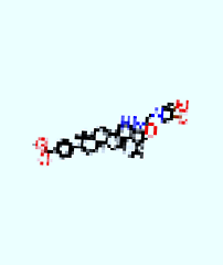 C=C(C)[C@@H]1CC[C@]2(NC(=O)CN3CC4CC3CS4(=O)=O)CC[C@]3(C)[C@H](CCC4[C@@]5(C)CC=C(c6ccc(C(=O)OC)cc6)C(C)(C)C5CC[C@]43C)C12